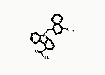 Cc1ccc(Cn2c3ccc[c]c3c3c(C(N)=O)cccc32)c2ccccc12